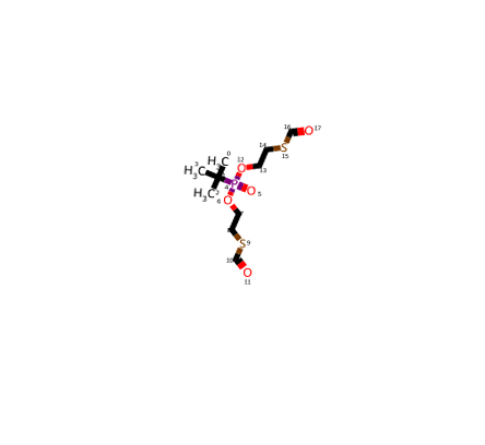 CC(C)(C)P(=O)(OCCSC=O)OCCSC=O